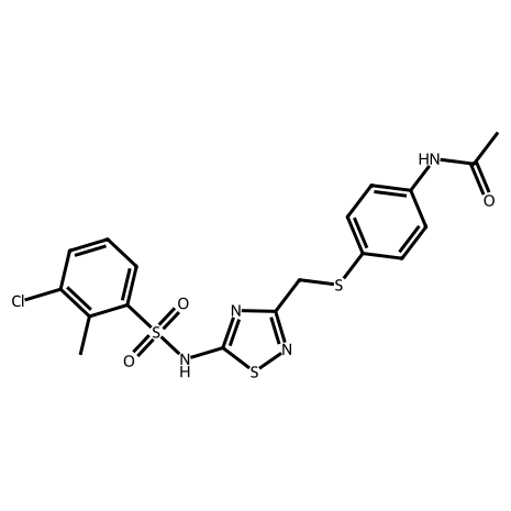 CC(=O)Nc1ccc(SCc2nsc(NS(=O)(=O)c3cccc(Cl)c3C)n2)cc1